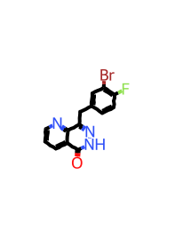 O=c1[nH]nc(Cc2ccc(F)c(Br)c2)c2ncccc12